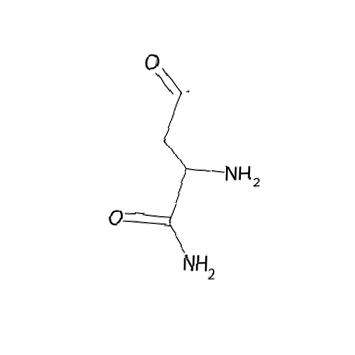 NC(=O)C(N)C[C]=O